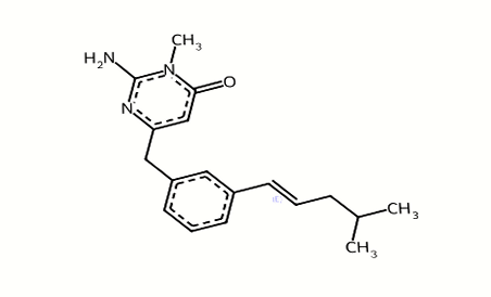 CC(C)C/C=C/c1cccc(Cc2cc(=O)n(C)c(N)n2)c1